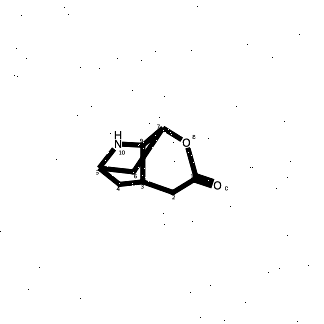 O=C1CC2CC3CC(O1)C2N3